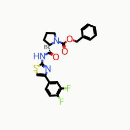 O=C(Nc1nc(-c2ccc(F)c(F)c2)cs1)[C@@H]1CCCN1C(=O)OCc1ccccc1